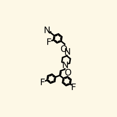 N#Cc1ccc(CON=C2CCN(C(=O)C=C(c3ccc(F)cc3)c3ccc(F)cc3)CC2)cc1F